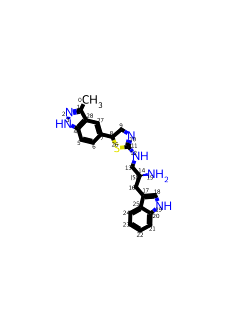 Cc1n[nH]c2ccc(C3CN=C(NC[C@@H](N)Cc4c[nH]c5ccccc45)S3)cc12